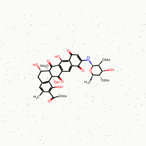 COC(=O)c1c(C)cc2c(c1O)[C@]1(O)C(=O)c3cc4c(c(O)c3C(=O)[C@]1(OC)[C@H](O)C2)C(=O)C=C(N[C@@H]1O[C@H](C)[C@@H](OC)[C@H](O)[C@@H]1OC)C4=O